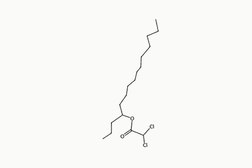 CCCCCCCCCCCC(CCC)OC(=O)C(Cl)Cl